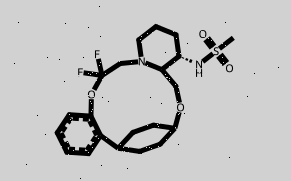 CS(=O)(=O)N[C@H]1CCCN2CC(F)(F)Oc3ccccc3C3CCC(CC3)OCC12